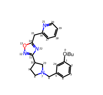 CC(C)COc1cccc(CN2CCC(c3noc(Cc4ccccn4)n3)C2)c1